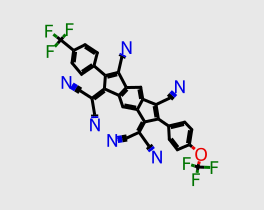 N#CC(C#N)=C1C(c2ccc(OC(F)(F)F)cc2)=C(C#N)c2cc3c(cc21)C(=C(C#N)C#N)C(c1ccc(C(F)(F)F)cc1)=C3C#N